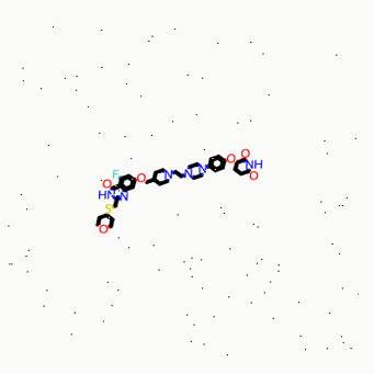 O=C1CCC(Oc2ccc(N3CCN(CCN4CCC(COc5cc(F)c6c(=O)[nH]c(CSC7CCOCC7)nc6c5)CC4)CC3)cc2)C(=O)N1